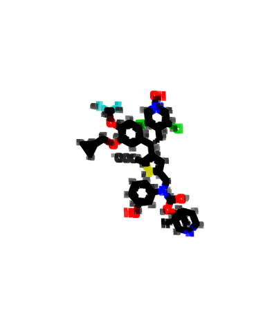 O=C([O-])c1sc(CN(C(=O)O[C@H]2CN3CCC2CC3)c2cccc(O)c2)cc1[C@@H](Cc1c(Cl)c[n+](O)cc1Cl)c1ccc(OC(F)F)c(OCC2CC2)c1